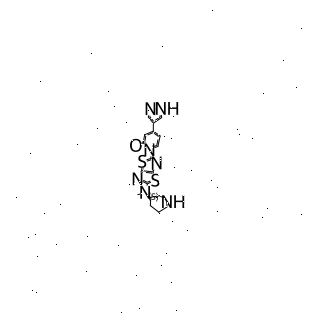 CN(c1nc2sc(-n3ccc(-c4cn[nH]c4)cc3=O)nc2s1)[C@H]1CCCNC1